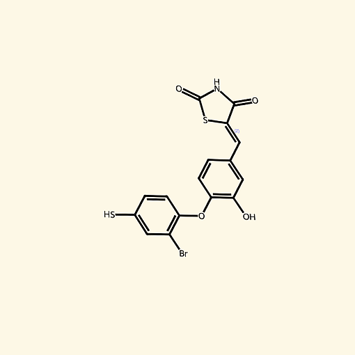 O=C1NC(=O)/C(=C/c2ccc(Oc3ccc(S)cc3Br)c(O)c2)S1